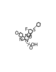 COc1ccc2c3c(cnc2c1)N(CC(C)(C)C(=O)O)CC(=O)N3Cc1c(F)cc(SCc2ccccc2)cc1F